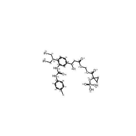 CCC(CC(=O)OCOC(=O)C1(OP(=O)(O)O)CC1)c1ccc(N(CC(C)C)CC(C)C)c(NC(=O)Nc2ccc(C)cc2)c1